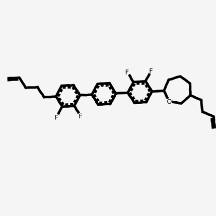 C=CCCCc1ccc(-c2ccc(-c3ccc(C4CCCC(CCC=C)CO4)c(F)c3F)cc2)c(F)c1F